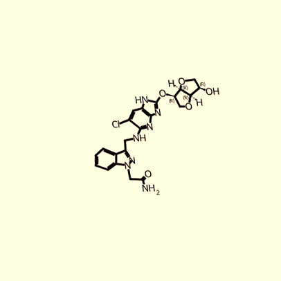 NC(=O)Cn1nc(CNc2nc3nc(O[C@@H]4CO[C@H]5[C@@H]4OC[C@H]5O)[nH]c3cc2Cl)c2ccccc21